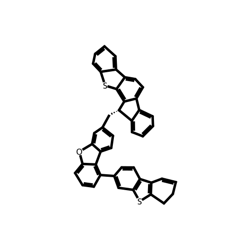 C1=Cc2c(sc3cc(-c4cccc5oc6cc(C[C@H]7c8ccccc8-c8ccc9c(sc%10ccccc%109)c87)ccc6c45)ccc23)CC1